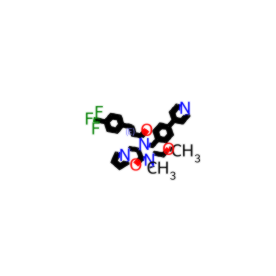 COCCN(C)C(=O)C(Cn1cccc1)N(Cc1ccc(-c2ccncc2)cc1)C(=O)/C=C/c1ccc(C(F)(F)F)cc1